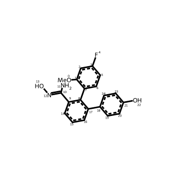 COc1cc(F)ccc1-c1c(/C(N)=N/O)cccc1-c1ccc(O)cc1